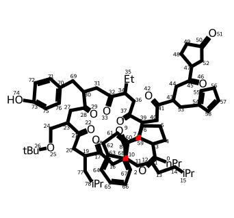 CCCC(=O)C1CCCC1C(=O)C(CCCCC(C)C)CC(=O)C(CC(=O)C(COC(C)(C)C)CC(=O)C(CC(=O)C(CC)CC(=O)C(CC(=O)C(CC(=O)C1CCC(=O)C1)CC1=CCC=C1)CC1=CCc2ccccc21)Cc1ccc(O)cc1)CC(C)C